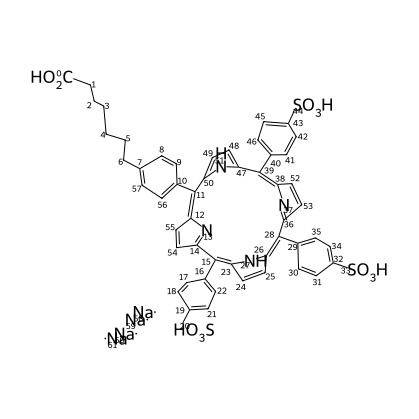 O=C(O)CCCCCCc1ccc(-c2c3nc(c(-c4ccc(S(=O)(=O)O)cc4)c4ccc([nH]4)c(-c4ccc(S(=O)(=O)O)cc4)c4nc(c(-c5ccc(S(=O)(=O)O)cc5)c5ccc2[nH]5)C=C4)C=C3)cc1.[Na].[Na].[Na].[Na]